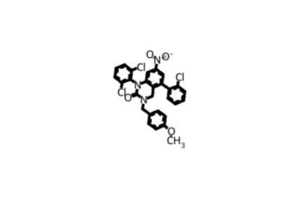 COc1ccc(CN2Cc3c(-c4ccccc4Cl)cc([N+](=O)[O-])cc3N(c3c(Cl)cccc3Cl)C2=O)cc1